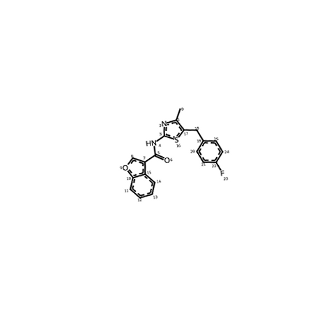 Cc1nc(NC(=O)c2coc3ccccc23)sc1Cc1ccc(F)cc1